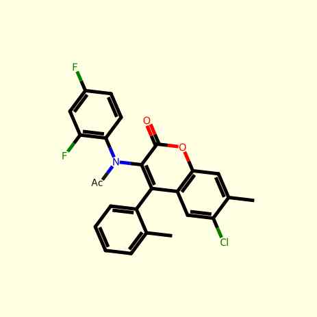 CC(=O)N(c1ccc(F)cc1F)c1c(-c2ccccc2C)c2cc(Cl)c(C)cc2oc1=O